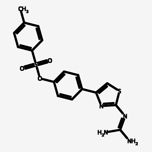 Cc1ccc(S(=O)(=O)Oc2ccc(-c3csc(N=C(N)N)n3)cc2)cc1